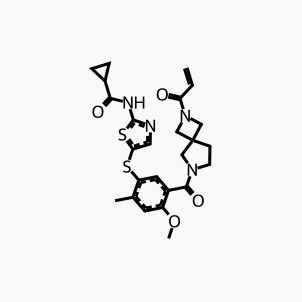 C=CC(=O)N1CC2(CCN(C(=O)c3cc(Sc4cnc(NC(=O)C5CC5)s4)c(C)cc3OC)C2)C1